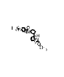 CCOCc1nc2c(N[C@H]3CCC[C@@H](NC(=O)c4ccc(OC)cc4)C3)cccc2s1